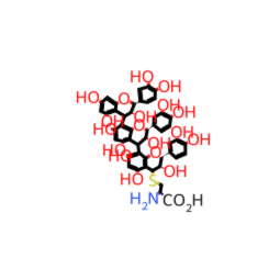 N[C@@H](CSC1c2c(O)cc(O)c(C3c4c(O)cc(O)c(C5c6c(O)cc(O)cc6O[C@H](c6ccc(O)c(O)c6)[C@@H]5O)c4O[C@H](c4ccc(O)c(O)c4)[C@@H]3O)c2O[C@H](c2ccc(O)c(O)c2)[C@@H]1O)C(=O)O